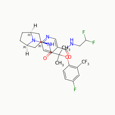 CC(C)(Oc1ccc(F)cc1C(F)(F)F)C(=O)N[C@H]1C[C@H]2CC[C@@H](C1)N2c1ccc(C(=O)NCC(F)F)cn1